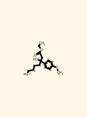 CCOC(=O)CC(O)(CCCCS)c1ccc(OC)cc1